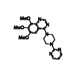 COc1cc2c(N3CCN(c4ncccn4)CC3)ncnc2c(OC)c1OC